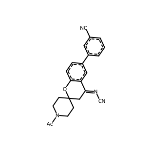 CC(=O)N1CCC2(CC1)C/C(=N\C#N)c1cc(-c3cccc(C#N)c3)ccc1O2